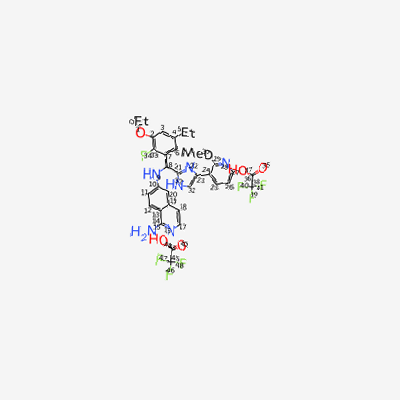 CCOc1cc(CC)cc(C(Nc2ccc3c(N)nccc3c2)c2nc(-c3cccnc3OC)c[nH]2)c1F.O=C(O)C(F)(F)F.O=C(O)C(F)(F)F